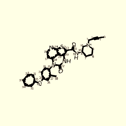 CC#CCN1CCC[C@@H](NC(=O)c2sc3nccc4c3c2NC(=O)N4c2ccc(Oc3ccccc3)cc2C)C1